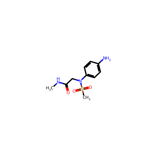 CNC(=O)CN(c1ccc(N)cc1)S(C)(=O)=O